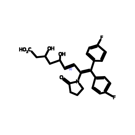 O=C(O)CC(O)CC(O)/C=C/C(=C(c1ccc(F)cc1)c1ccc(F)cc1)N1CCCC1=O